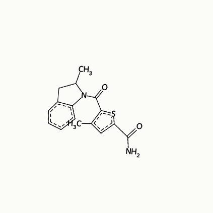 Cc1cc(C(N)=O)sc1C(=O)N1c2ccccc2CC1C